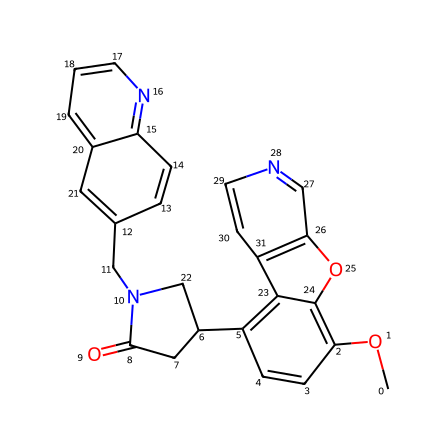 COc1ccc(C2CC(=O)N(Cc3ccc4ncccc4c3)C2)c2c1oc1cnccc12